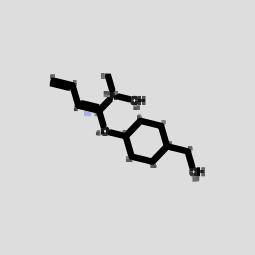 C=C/C=C(/OC1CCC(CO)CC1)N(C)O